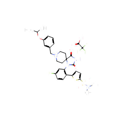 CC(C)Oc1cccc(CN2CCC3(CC2)C(=O)NC(=O)N3c2cc(F)ccc2-c2ccc(S(=O)(=O)N(C)C)s2)c1.O=C(O)C(F)(F)F